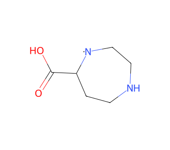 O=C(O)C1CCNCC[N]1